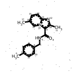 Cc1ccc(CNC(=O)c2c(C)nc3ccc(C)cn23)cc1